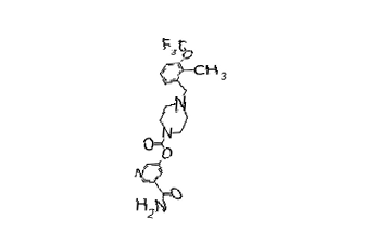 Cc1c(CN2CCN(C(=O)Oc3cncc(C(N)=O)c3)CC2)cccc1OC(F)(F)F